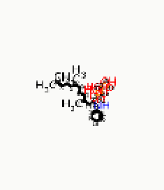 CC(C)=CCCC(C)=CCCC(C)=CC(Nc1ccccc1)OP(=O)(O)OP(=O)(O)O